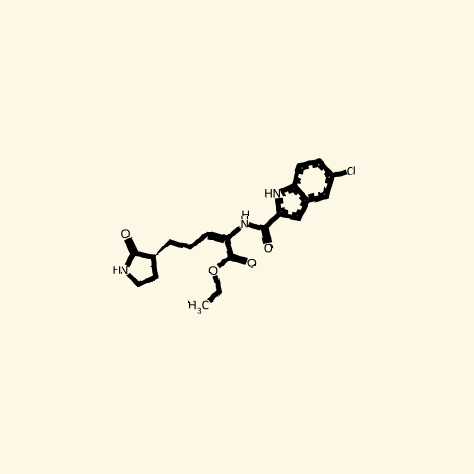 CCOC(=O)C(=CCC[C@H]1CCNC1=O)NC(=O)c1cc2cc(Cl)ccc2[nH]1